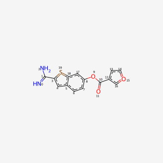 N=C(N)c1cc2ccc(OC(=O)c3ccoc3)cc2s1